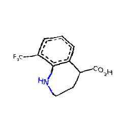 O=C(O)C1CCNc2c1cccc2C(F)(F)F